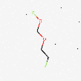 FCCOCOF